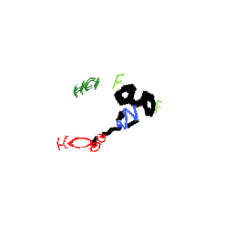 Cl.Cl.O=C(O)COCC=CCN1CCN(C(c2ccc(F)cc2)c2ccc(F)cc2)CC1